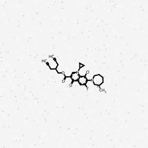 C#CCC(CC#C)COC(=O)c1cn(C2CC2)c2c(Cl)c(N3CCCC[C@@H](C)C3)c(F)cc2c1=O